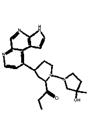 CCC(=O)C1CC(c2ccnc3cnc4[nH]ccc4c23)CCN1N1CCC(C)(O)C1